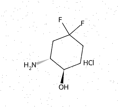 Cl.N[C@@H]1CC(F)(F)CC[C@H]1O